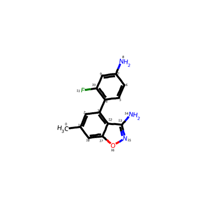 Cc1cc(-c2ccc(N)cc2F)c2c(N)noc2c1